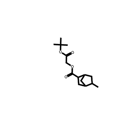 CC1CC2CC1CC2C(=O)OCC(=O)OC(C)(C)C